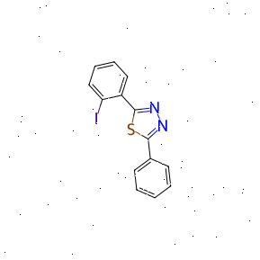 Ic1ccccc1-c1nnc(-c2ccccc2)s1